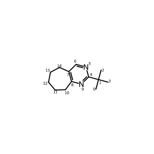 CC(C)(C)c1ncc2c(n1)CCCCC2